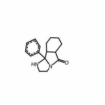 O=C1C2CCCCC2C2(c3ccccc3)NCCN12